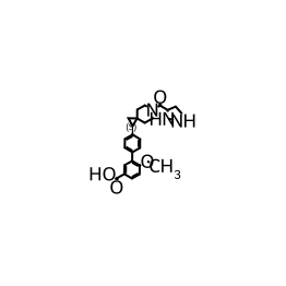 COc1ccc(C(=O)O)cc1-c1ccc([C@H]2CC23CCN(C(=O)C2CCNN2)CC3)cc1